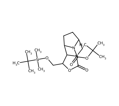 CC(C)(C)OC(=O)N1C2CCC1C1C(CO[Si](C)(C)C(C)(C)C)OC(=O)N1C2